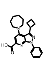 O=C(O)c1cc(N2CCCCCC2)c2c(C3CCC3)nn(-c3ccccc3)c2n1